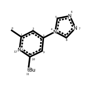 Cc1cc(-n2cnnc2)cc(C(C)(C)C)n1